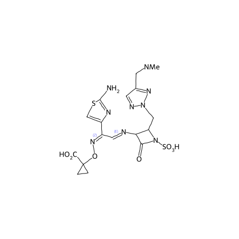 CNCc1cnn(CC2C(/N=C/C(=N\OC3(C(=O)O)CC3)c3csc(N)n3)C(=O)N2S(=O)(=O)O)n1